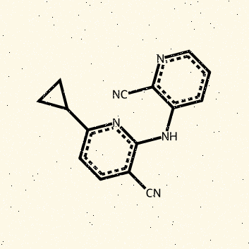 N#Cc1ccc(C2CC2)nc1Nc1cccnc1C#N